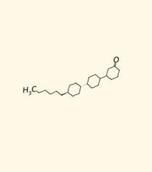 CCCCCC[C@H]1CC[C@H](C2CCC(C3CCCC(=O)C3)CC2)CC1